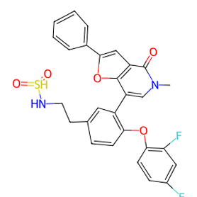 Cn1cc(-c2cc(CCN[SH](=O)=O)ccc2Oc2ccc(F)cc2F)c2oc(-c3ccccc3)cc2c1=O